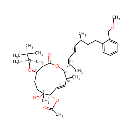 COCc1ccccc1CCC(C)/C=C/C=C(\C)[C@H]1OC(=O)C[C@H](O[Si](C)(C)C(C)(C)C)CC[C@@](C)(O)[C@@H](OC(C)=O)/C=C/[C@@H]1C